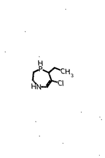 CCC1PCCNC=C1Cl